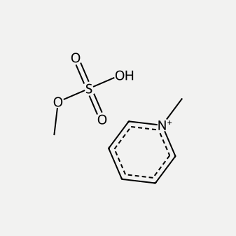 COS(=O)(=O)O.C[n+]1ccccc1